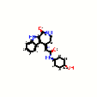 O=C(/C=C1\CCNC(=O)c2[nH]c3ccccc3c21)NC1CCC(O)CC1